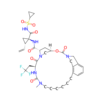 C=C[C@@H]1C[C@]1(NC(=O)[C@@H]1C[C@@H]2CN1C(=O)[C@H](CC(F)(F)F)NC(=O)N(C)CCCCCCc1cccc3c1CN(C3)C(=O)O2)C(=O)NS(=O)(=O)C1CC1